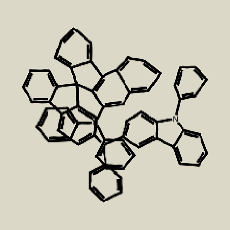 c1ccc(N(c2ccc3c(c2)C2(c4ccccc4-3)c3ccccc3-c3c2c(N(c2ccccc2)c2ccccc2)cc2ccccc32)c2ccc3c(c2)c2ccccc2n3-c2ccccc2)cc1